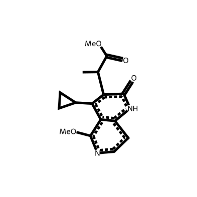 COC(=O)C(C)c1c(C2CC2)c2c(OC)nccc2[nH]c1=O